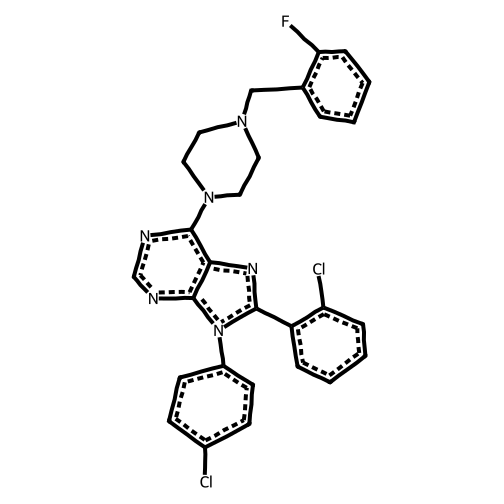 Fc1ccccc1CN1CCN(c2ncnc3c2nc(-c2ccccc2Cl)n3-c2ccc(Cl)cc2)CC1